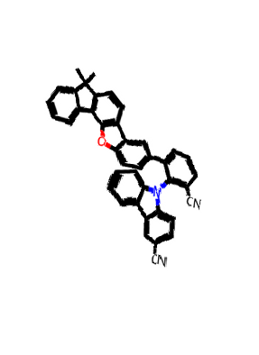 CC1(C)c2ccccc2-c2c1ccc1c2oc2ccc(-c3cccc(C#N)c3-n3c4ccccc4c4cc(C#N)ccc43)cc21